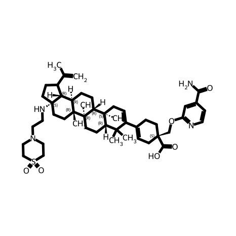 C=C(C)C1CC[C@]2(NCCN3CCS(=O)(=O)CC3)CC[C@]3(C)[C@H](CC[C@@H]4[C@@]5(C)CC=C(C6=CC[C@@](COc7cc(C(N)=O)ccn7)(C(=O)O)CC6)C(C)(C)[C@@H]5CC[C@]43C)[C@@H]12